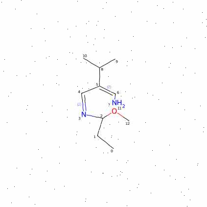 CCC(/N=C\C(=C/N)C(C)C)OC